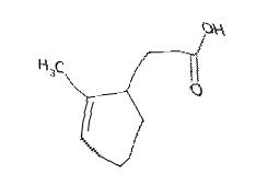 CC1=CCCC1CC(=O)O